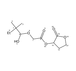 CCC(C)(C)C(O)OCC(=O)OC1CCOC1=O